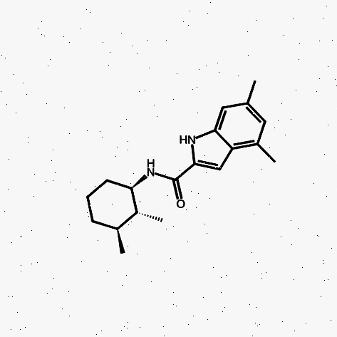 Cc1cc(C)c2cc(C(=O)N[C@@H]3CCC[C@H](C)[C@H]3C)[nH]c2c1